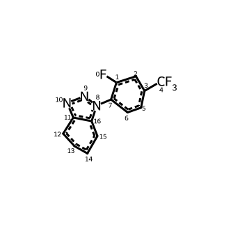 Fc1cc(C(F)(F)F)ccc1-n1nnc2ccccc21